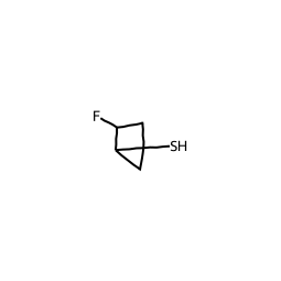 FC1CC2(S)CC12